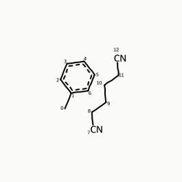 Cc1ccccc1.N#CCCCCC#N